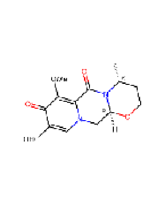 COc1c2n(cc(C=O)c1=O)C[C@@H]1OCC[C@@H](C)N1C2=O